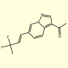 CC(=O)c1cnn2cc(/C=C/C(F)(F)F)ccc12